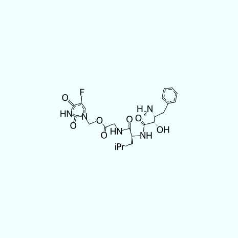 CC(C)C[C@H](NC(=O)[C@@H](O)[C@H](N)Cc1ccccc1)C(=O)NCC(=O)OCn1cc(F)c(=O)[nH]c1=O